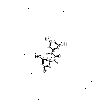 CC(C(=O)C(C)c1cc(O)cc(Br)c1)c1cc(O)cc(Br)c1